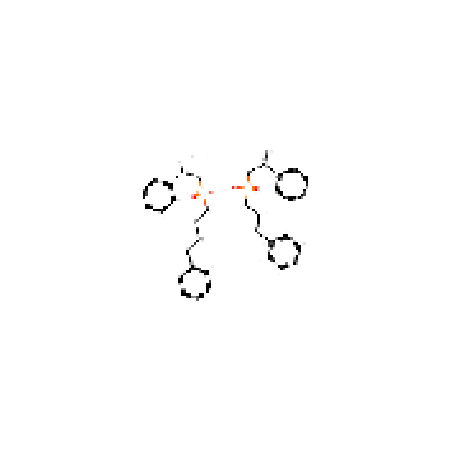 O=C(O)C(CP(=O)(O)CCCCc1ccccc1)c1ccccc1.O=C(O)C(CP(=O)(O)CCCc1ccccc1)c1ccccc1